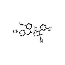 CSc1cccc([C@H](N[C@@H](C)C(Cc2ccc(Cl)cc2)c2cccc(C#N)c2)C(C)(C)C#N)c1